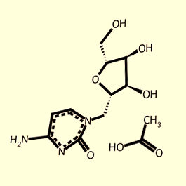 CC(=O)O.Nc1ccn(C[C@@H]2O[C@H](CO)[C@@H](O)[C@H]2O)c(=O)n1